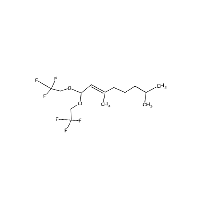 C/C(=C\C(OCC(F)(F)F)OCC(F)(F)F)CCCC(C)C